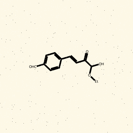 CCOC(O)C(=O)/C=C/c1ccc(C=O)cc1